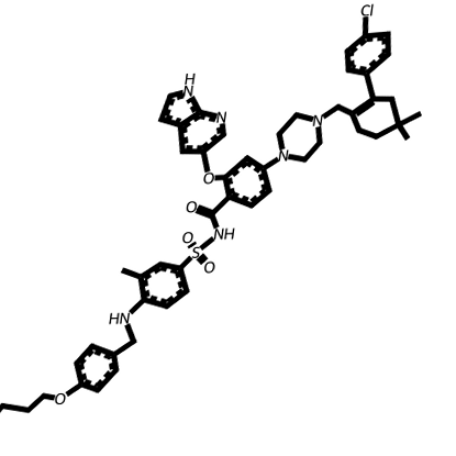 Cc1cc(S(=O)(=O)NC(=O)c2ccc(N3CCN(CC4=C(c5ccc(Cl)cc5)CC(C)(C)CC4)CC3)cc2Oc2cnc3[nH]ccc3c2)ccc1NCc1ccc(OCCCN(C)C)cc1